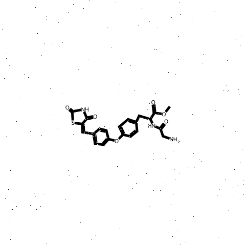 COC(=O)C(Cc1ccc(Oc2ccc(C=C3SC(=O)NC3=O)cc2)cc1)NC(=O)CN